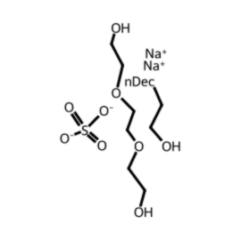 CCCCCCCCCCCCO.O=S(=O)([O-])[O-].OCCOCCOCCO.[Na+].[Na+]